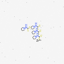 S=C([S-])NN1CCCC1.S=C([S-])NN1CCCC1.S=C([S-])NN1CCCC1.S=C([S-])NN1CCCC1.[Zr+4]